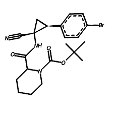 CC(C)(C)OC(=O)N1CCCCC1C(=O)N[C@]1(C#N)C[C@H]1c1ccc(Br)cc1